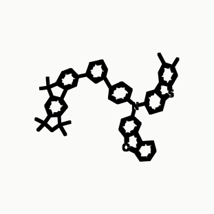 Cc1cc2sc3ccc(N(c4ccc(-c5cccc(-c6ccc7c(c6)-c6cc8c(cc6C7(C)C)C(C)(C)CC8(C)C)c5)cc4)c4ccc5oc6ccccc6c5c4)cc3c2cc1C